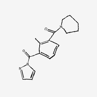 Cc1c(C(=O)N2CCCCC2)cccc1C(=O)n1cccn1